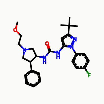 COCCN1CC(c2ccccc2)[C@H](NC(=O)Nc2cc(C(C)(C)C)nn2-c2ccc(F)cc2)C1